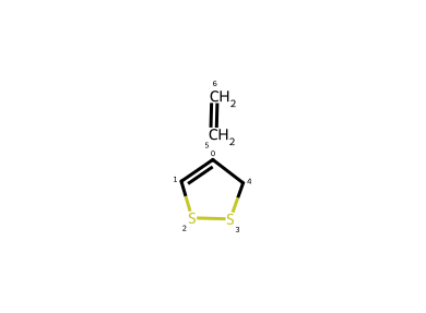 C1=CSSC1.C=C